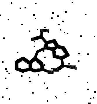 COC(=O)c1cc2ccc(C(=N)N)cc2n1Cc1cc(O)cc2ccccc12